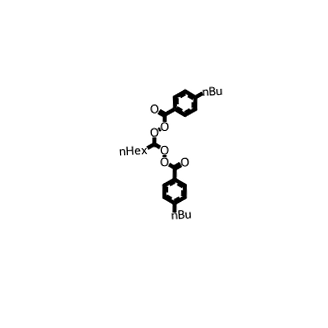 [CH2]CCCCC[C](OOC(=O)c1ccc(CCCC)cc1)OOC(=O)c1ccc(CCCC)cc1